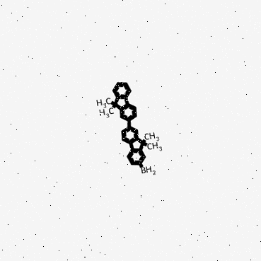 Bc1ccc2c(c1)C(C)(C)c1cc(-c3ccc4c(c3)C(C)(C)c3ccccc3-4)ccc1-2